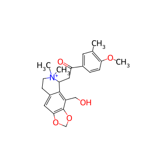 COc1ccc(C(=O)CC2c3c(cc4c(c3CO)OCO4)CC[N+]2(C)C)cc1C